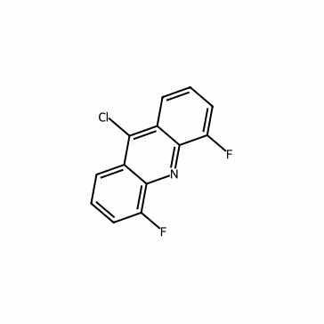 Fc1cccc2c(Cl)c3cccc(F)c3nc12